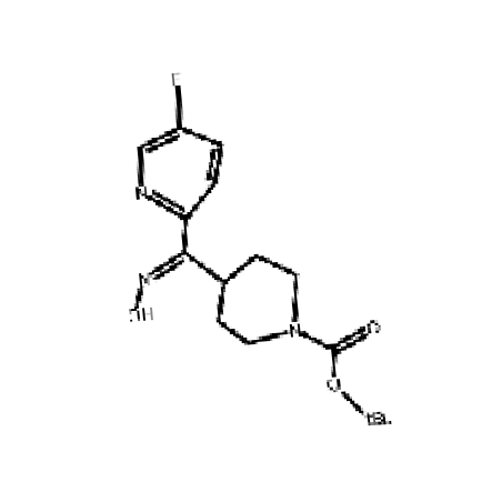 CC(C)(C)OC(=O)N1CCC(/C(=N\O)c2ccc(F)cn2)CC1